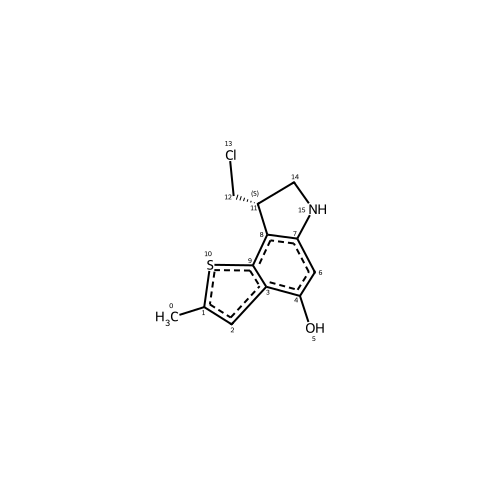 Cc1cc2c(O)cc3c(c2s1)[C@H](CCl)CN3